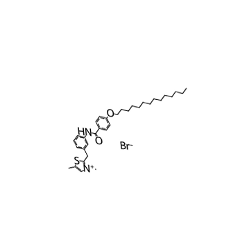 CCCCCCCCCCCCCCOc1ccc(C(=O)Nc2cccc(CC3=[N+]C=C(C)S3)c2)cc1.[Br-]